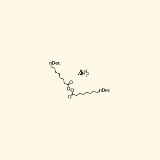 CCCCCCCCCCCCCCCCCC(=O)OOC(=O)CCCCCCCCCCCCCCCCC.[AlH3].[AlH3]